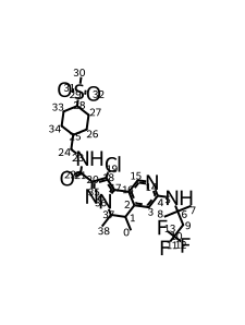 CC1c2cc(NC(C)(C)CC(F)(F)F)ncc2-c2c(Cl)c(C(=O)NCC3CCC(S(C)(=O)=O)CC3)nn2C1C